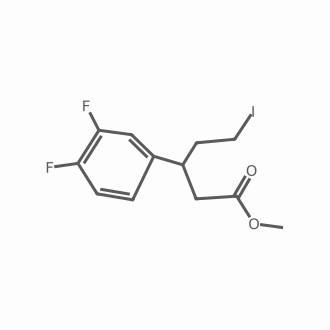 COC(=O)CC(CCI)c1ccc(F)c(F)c1